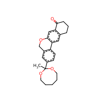 CC1(c2ccc3c(c2)COc2cc4c(cc2-3)CCCC4=O)OCCCCCO1